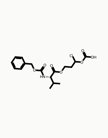 CC(C)[C@H](NC(=O)OCc1ccccc1)C(=O)OCCC(Cl)OC(=O)O